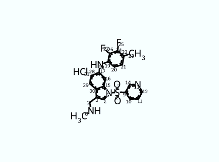 CNCc1cn(S(=O)(=O)c2cccnc2)c2cc(Nc3ccc(C)c(F)c3F)ccc12.Cl